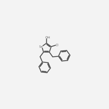 Oc1[se]c(Cc2ccccc2)c(Cc2ccccc2)c1Cl